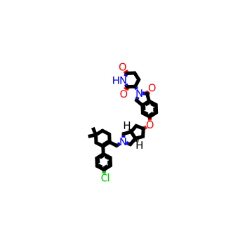 CC1(C)CCC(CN2C[C@H]3CC(Oc4ccc5c(c4)CN(C4CCC(=O)NC4=O)C5=O)C[C@@H]3C2)=C(c2ccc(Cl)cc2)C1